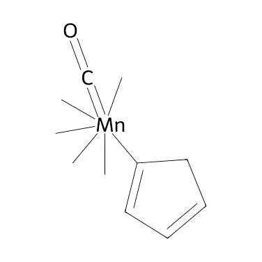 [CH3][Mn]([CH3])([CH3])([CH3])([CH3])(=[C]=O)[C]1=CC=CC1